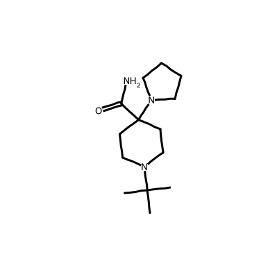 CC(C)(C)N1CCC(C(N)=O)(N2CCCC2)CC1